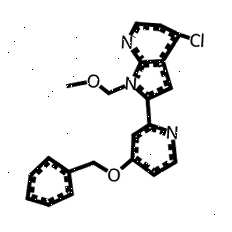 COCn1c(-c2cc(OCc3ccccc3)ccn2)cc2c(Cl)ccnc21